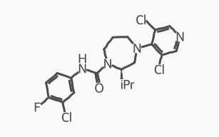 CC(C)[C@@H]1CN(c2c(Cl)cncc2Cl)CCCN1C(=O)Nc1ccc(F)c(Cl)c1